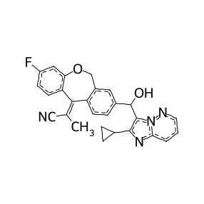 CC(C#N)=C1c2ccc(C(O)c3c(C4CC4)nc4cccnn34)cc2COc2cc(F)ccc21